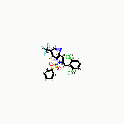 O=S(=O)(c1ccccc1)n1c(Cc2c(Cl)[c]ccc2Cl)cc2ncc(C(F)(F)F)cc21